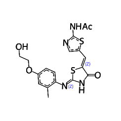 CC(=O)Nc1ncc(/C=C2\S/C(=N\c3ccc(OCCO)cc3C)NC2=O)s1